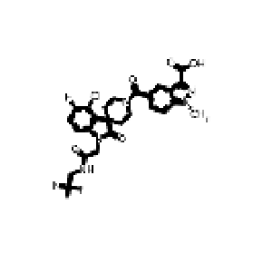 Cn1nc(C(=O)O)c2cc(C(=O)N3CCC4(CC3)C(=O)N(CC(=O)NCC(F)(F)F)c3ccc(F)c(Cl)c34)ccc21